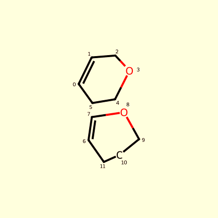 C1=CCOCC1.C1=COCCC1